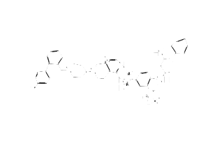 CC(CC(Sc1ccccc1)N(C)C)Nc1ccc(S(=O)(=O)Nc2ncnc3c2CCN(C2CCN(Cc4ccccc4-c4ccc(Cl)cc4)CC2)C3)cc1S(=O)(=O)C(F)(F)F